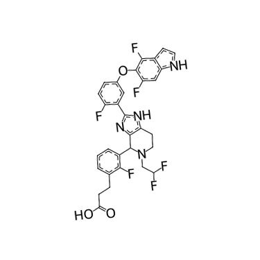 O=C(O)CCc1cccc(C2c3nc(-c4cc(Oc5c(F)cc6[nH]ccc6c5F)ccc4F)[nH]c3CCN2CC(F)F)c1F